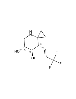 O[C@H]1[C@H](O)CNC2(CC2)[C@@H]1C=CC(F)(F)F